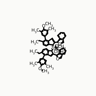 CCc1ccc2c(c1-c1cc(C)c(OC)c(C)c1)C=C(c1occ3ccccc13)[CH]2[Zr]([Cl])([Cl])([CH]1C(c2occ3ccccc23)=Cc2c1ccc(CC)c2-c1cc(C)c(OC)c(C)c1)=[Si](C)C